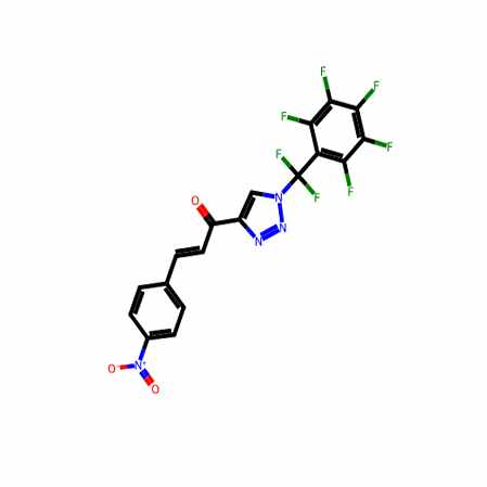 O=C(C=Cc1ccc([N+](=O)[O-])cc1)c1cn(C(F)(F)c2c(F)c(F)c(F)c(F)c2F)nn1